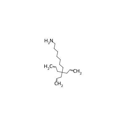 C=CCC(CC=C)(CC=C)CCCCCCCN